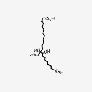 CCCCCCCCCCCCCCCCCC(O)C(O)(CCCCCC)CCCCCCCCCCC(=O)O